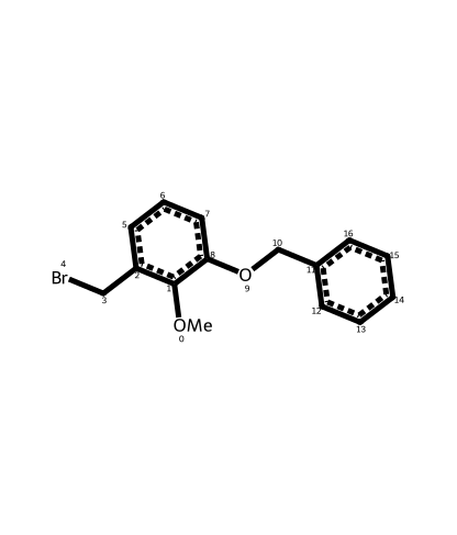 COc1c(CBr)cccc1OCc1ccccc1